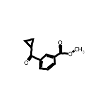 COC(=O)c1cccc(C(=O)C2CC2)c1